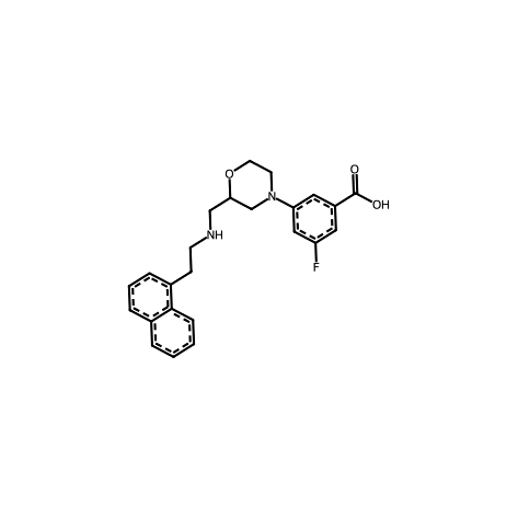 O=C(O)c1cc(F)cc(N2CCOC(CNCCc3cccc4ccccc34)C2)c1